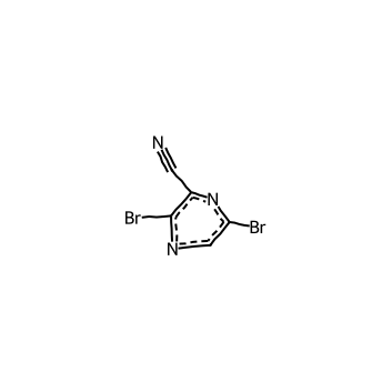 N#Cc1nc(Br)cnc1Br